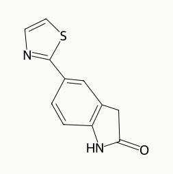 O=C1Cc2cc(-c3nccs3)ccc2N1